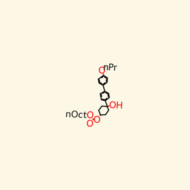 CCCCCCCCOC(=O)OC1CCC(O)(c2ccc(-c3ccc(OCCC)cc3)cc2)CC1